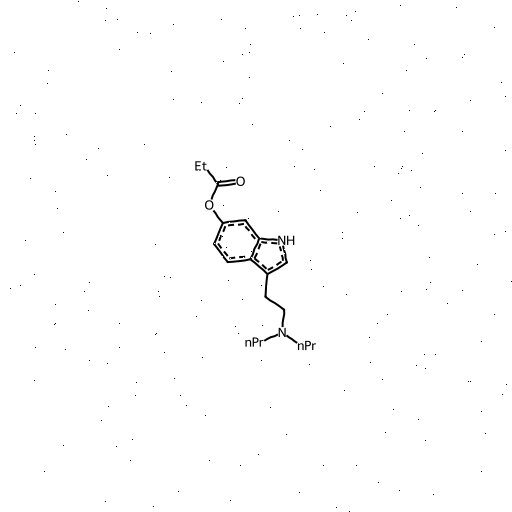 CCCN(CCC)CCc1c[nH]c2cc(OC(=O)CC)ccc12